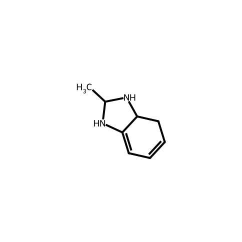 CC1NC2=CC=CCC2N1